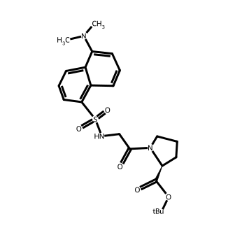 CN(C)c1cccc2c(S(=O)(=O)NCC(=O)N3CCC[C@H]3C(=O)OC(C)(C)C)cccc12